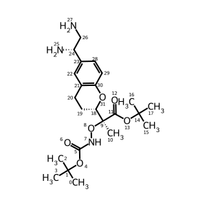 CC(C)(C)OC(=O)NO[C@](C)(C(=O)OC(C)(C)C)[C@@H]1CCc2cc([C@H](N)CN)ccc2O1